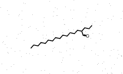 CCCCCCCCCCCCCCC(C=O)CCC